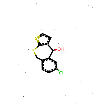 OC1c2cc(Cl)ccc2CSc2sccc21